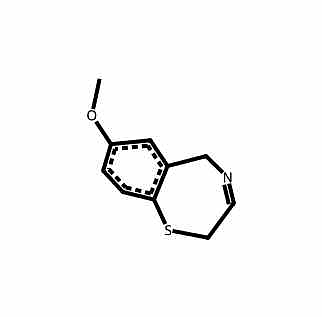 COc1ccc2c(c1)CN=CCS2